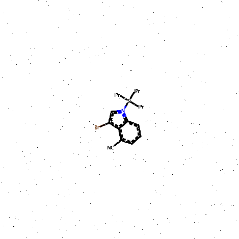 CC(C)[Si](C(C)C)(C(C)C)n1cc(Br)c2c(C#N)cccc21